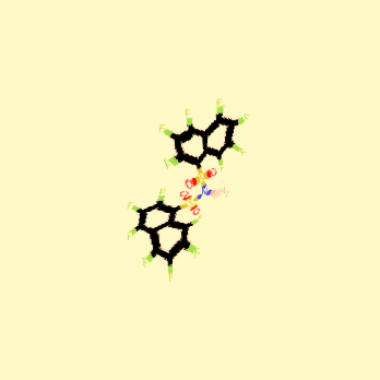 BN(S(=O)(=O)c1c(F)c(F)c(F)c2c(F)c(F)c(F)c(F)c12)S(=O)(=O)c1c(F)c(F)c(F)c2c(F)c(F)c(F)c(F)c12